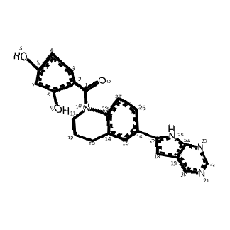 O=C(c1ccc(O)cc1O)N1CCCc2cc(-c3cc4cncnc4[nH]3)ccc21